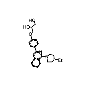 CCN1CCN(c2nc(-c3ccc(OCC(O)CO)cc3)cc3ccccc23)CC1